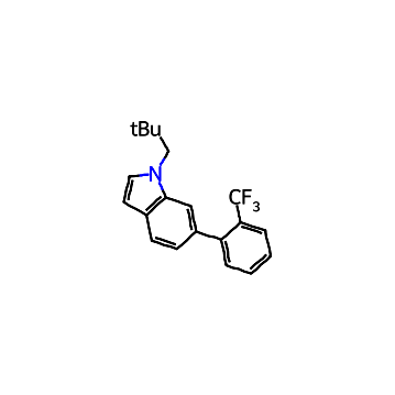 CC(C)(C)Cn1ccc2ccc(-c3ccccc3C(F)(F)F)cc21